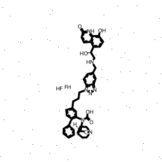 F.F.O=C(O)N(c1cc(CCCn2nnc3cc(CNC[C@H](O)c4ccc(O)c5[nH]c(=O)ccc45)ccc32)ccc1-c1ccccc1)[C@H]1CN2CCC1CC2